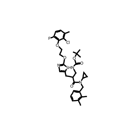 Cc1cccc(CN(C(=O)C(CNC(=O)OC(C)(C)C)Cc2cnc(OCCOc3c(F)ccc(C)c3Cl)s2)C2CC2)c1C